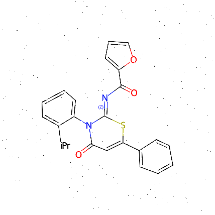 CC(C)c1ccccc1-n1c(=O)cc(-c2ccccc2)s/c1=N\C(=O)c1ccco1